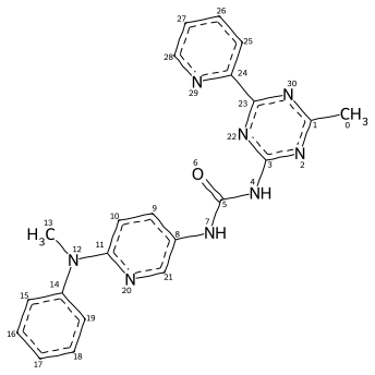 Cc1nc(NC(=O)Nc2ccc(N(C)c3ccccc3)nc2)nc(-c2ccccn2)n1